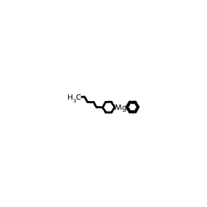 CCCCCC1CC[CH]([Mg][c]2ccccc2)CC1